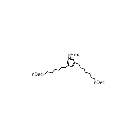 CCCCCCCCCCCCCCCCCc1cc(CCCCCCCCCCCCCCCCC)c[n+](CCCCCC)c1